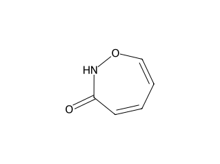 O=C1C=CC=CON1